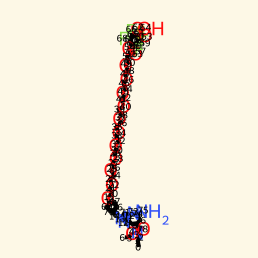 CCCN(OCC)C(=O)C1=Cc2nn(Cc3ccc(OCCOCCOCCOCCOCCOCCOCCOCCOCCOCCOCCC(=O)Oc4c(F)c(F)c(S(=O)(=O)O)c(F)c4F)cc3)cc2N=C(N)C1